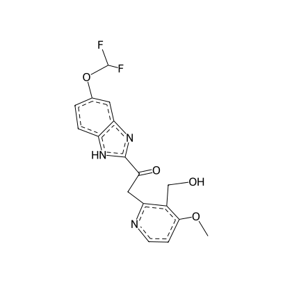 COc1ccnc(CC(=O)c2nc3cc(OC(F)F)ccc3[nH]2)c1CO